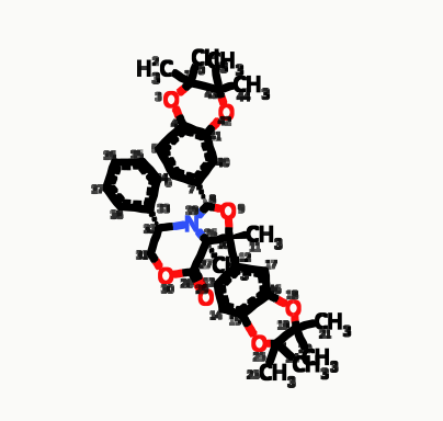 CC1(C)Oc2ccc([C@@H]3O[C@](C)(c4ccc5c(c4)OC(C)(C)C(C)(C)O5)[C@@]4(C)C(=O)OC[C@H](c5ccccc5)N34)cc2OC1(C)C